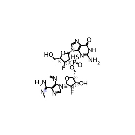 C=Nc1c(/C(N)=N\C)ncn1[C@@H]1O[C@H](COP(=O)(S)[C@@H]2[C@@H](F)[C@@H](CO)O[C@H]2n2cnc3c(=O)[nH]c(N)nc32)[C@@H](O)[C@@H]1F